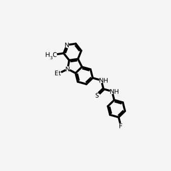 CCn1c2ccc(NC(=S)Nc3ccc(F)cc3)cc2c2ccnc(C)c21